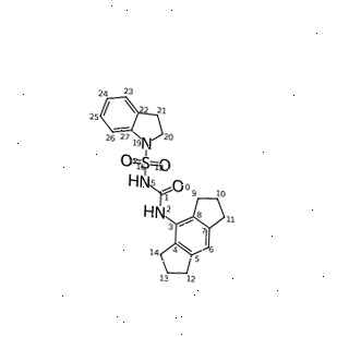 O=C(Nc1c2c(cc3c1CCC3)CCC2)NS(=O)(=O)N1CCc2ccccc21